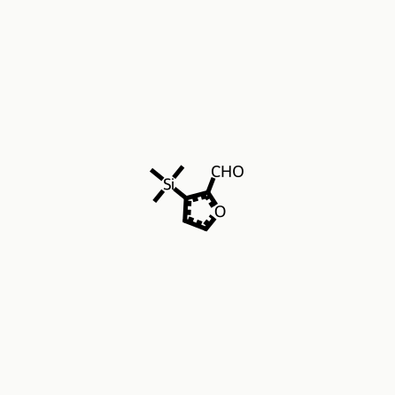 C[Si](C)(C)c1ccoc1C=O